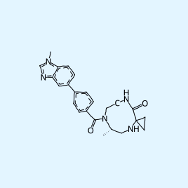 C[C@H]1CNC2(CC2)C(=O)NCCN1C(=O)c1ccc(-c2ccc3c(c2)ncn3C)cc1